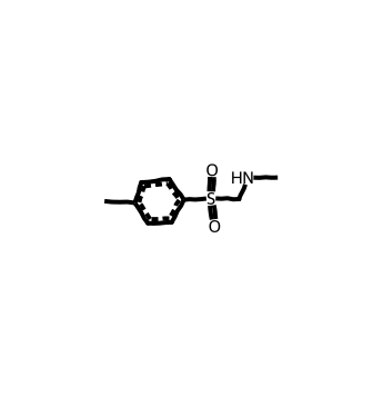 CNCS(=O)(=O)c1ccc(C)cc1